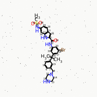 CC(C)(c1cccc(CN2CCNCC2)c1)c1cc(Br)cc(NC(=O)c2cc3ccc(NS(C)(=O)=O)cc3[nH]2)c1